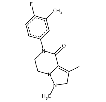 Cc1cc(N2CCN3C(=C(I)CN3C)C2=O)ccc1F